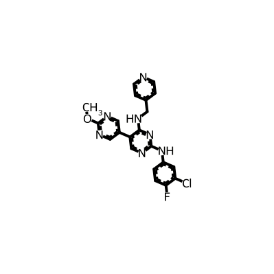 COc1ncc(-c2cnc(Nc3ccc(F)c(Cl)c3)nc2NCc2ccncc2)cn1